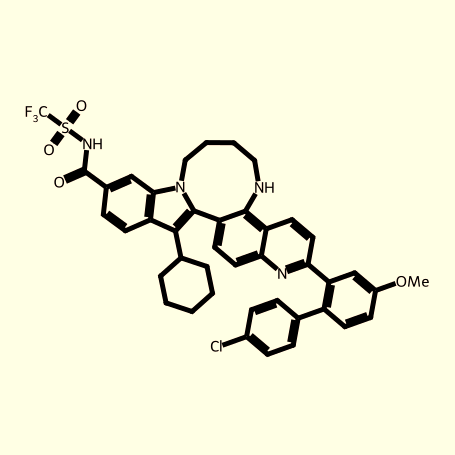 COc1ccc(-c2ccc(Cl)cc2)c(-c2ccc3c4c(ccc3n2)-c2c(C3CCCCC3)c3ccc(C(=O)NS(=O)(=O)C(F)(F)F)cc3n2CCCCN4)c1